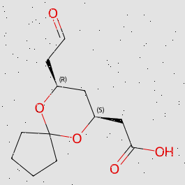 O=CC[C@H]1C[C@@H](CC(=O)O)OC2(CCCC2)O1